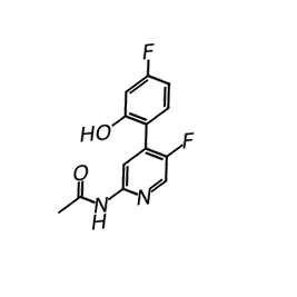 CC(=O)Nc1cc(-c2ccc(F)cc2O)c(F)cn1